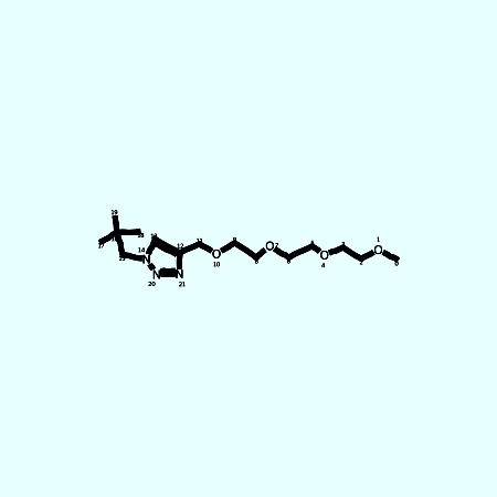 COCCOCCOCCOCc1cn(CC(C)(C)C)nn1